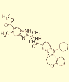 COC(=O)c1cc2[nH]c(C(C)(C)NC(=O)c3ccc4c(C5CCCCC5)c5n(c4c3)CCOc3ccccc3-5)nc2cc1C